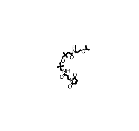 CC(C)OCCNC(=O)CC(C)(C)COCC(C)(C)CNC(=O)CCN1C(=O)C=CC1=O